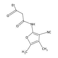 [C-]#[N+]c1c(NC(=O)CC(=O)CC)oc(C)c1C